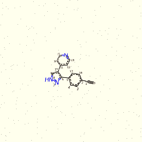 C#Cc1ccc(-c2n[nH]cc2-c2ccncc2)cc1